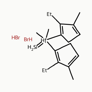 Br.Br.CCC1=[C]([Hf]([CH3])([CH3])(=[SiH2])[C]2=C(CC)C(C)=CC2)CC=C1C